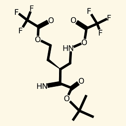 CC(C)(C)OC(=O)C(=N)[C@@H](CCOC(=O)C(F)(F)F)CNOC(=O)C(F)(F)F